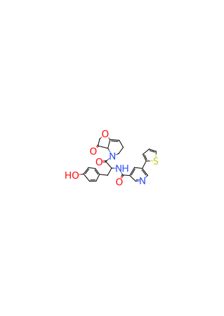 O=C(NC(Cc1ccc(O)cc1)C(=O)N1CCC=C2OCC(=O)C21)c1cncc(-c2cccs2)c1